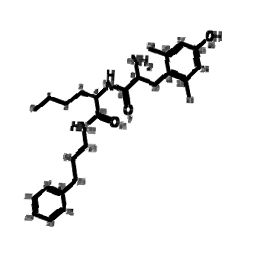 CCCC[C@@H](NC(=O)C(N)Cc1c(C)cc(O)cc1C)C(=O)NCCCc1ccccc1